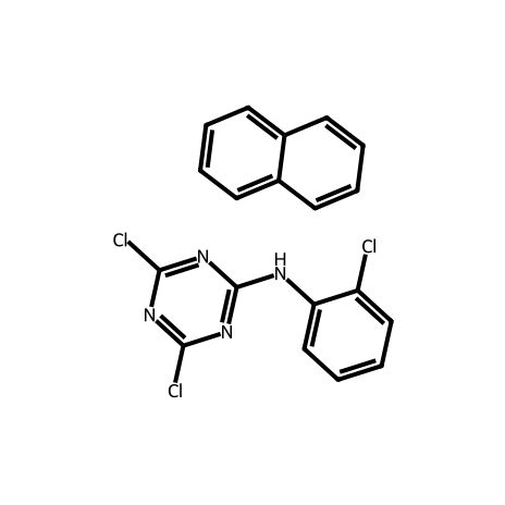 Clc1nc(Cl)nc(Nc2ccccc2Cl)n1.c1ccc2ccccc2c1